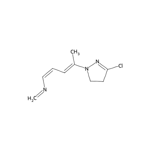 C=N/C=C\C=C(/C)N1CCC(Cl)=N1